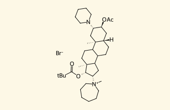 CC(=O)O[C@H]1C[C@@H]2CCC3C4C[C@H]([N+]5(C)CCCCCC5)[C@H](OC(=O)C(C)(C)C)[C@@]4(C)CCC3[C@@]2(C)C[C@@H]1N1CCCCC1.[Br-]